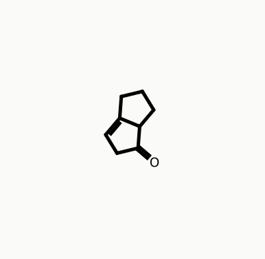 O=C1CC=C2CCCC12